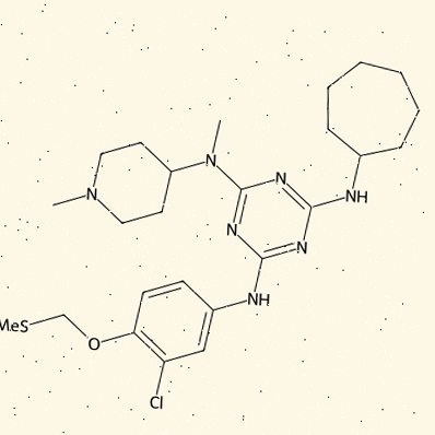 CSCOc1ccc(Nc2nc(NC3CCCCCC3)nc(N(C)C3CCN(C)CC3)n2)cc1Cl